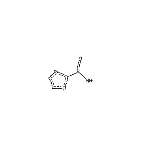 [NH]C(=O)c1ncco1